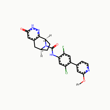 CC(C)Oc1cc(-c2cc(F)c(NC(=O)N3[C@H]4CC[C@@H]3c3n[nH]c(=O)cc3C4)cc2Cl)ccn1